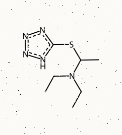 CCN(CC)C(C)Sc1nnn[nH]1